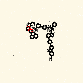 CC1(C)c2cc(C#N)ccc2-c2ccc(-c3ccc(-c4cccc5c(-c6nc(-c7ccccc7)nc(-c7ccc(-c8cccc(-c9nc(-c%10ccccc%10)nc(-c%10cccc%11cccc(-c%12ccc(-c%13cccc%14cccnc%13%14)cc%12)c%10%11)n9)c8)cc7)n6)cccc45)cc3)cc21